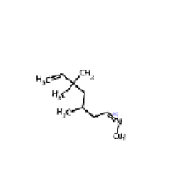 C=CC(C)(C)CC(C)C/C=N\O